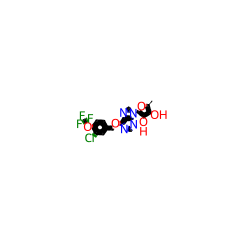 C[C@H]1O[C@@H](n2cnc3c(OCc4ccc(OC(F)(F)F)c(Cl)c4)ncnc32)[C@H](O)[C@@H]1O